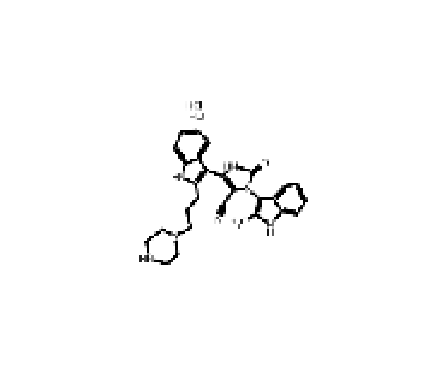 Cc1[nH]c2ccccc2c1-n1c(C#N)c(-c2c(CCCN3CCNCC3)[nH]c3ccccc23)[nH]c1=O.Cl.Cl